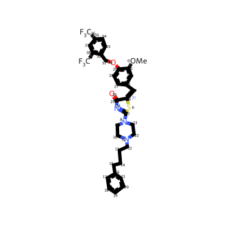 COc1cc(/C=C2/SC(N3CCN(CCCCc4ccccc4)CC3)=NC2=O)ccc1OCc1ccc(C(F)(F)F)cc1C(F)(F)F